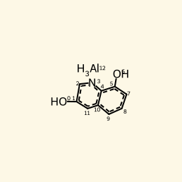 Oc1cnc2c(O)cccc2c1.[AlH3]